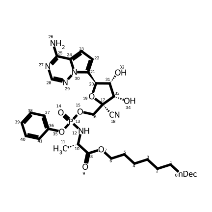 CCCCCCCCCCCCCCCCOC(=O)[C@H](C)NP(=O)(OC[C@@]1(C#N)O[C@@H](c2ccc3c(N)ncnn23)[C@H](O)[C@@H]1O)Oc1ccccc1